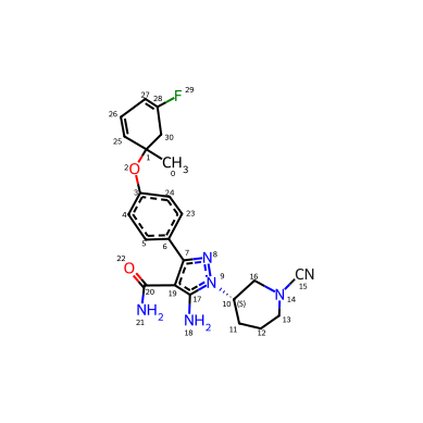 CC1(Oc2ccc(-c3nn([C@H]4CCCN(C#N)C4)c(N)c3C(N)=O)cc2)C=CC=C(F)C1